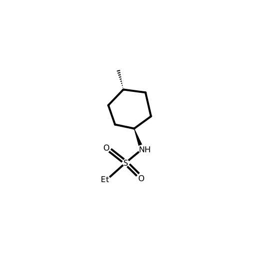 CCS(=O)(=O)N[C@H]1CC[C@H](C)CC1